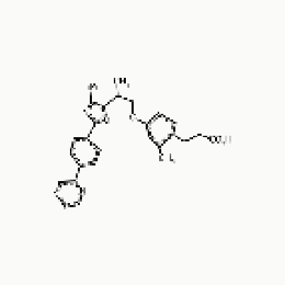 Cc1cc(OCC(C)c2oc(-c3ccc(-c4cnccn4)cc3)nc2C(C)C)ccc1CCC(=O)O